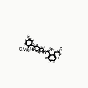 COc1ccc(F)cc1-c1cc(CNC(=O)c2ccccc2CC(F)F)n[nH]1